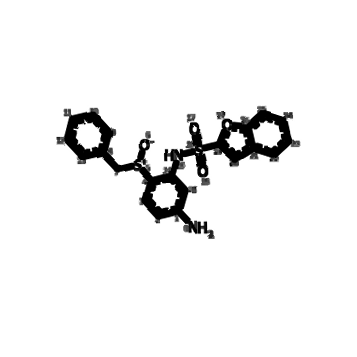 Nc1ccc([S+]([O-])Cc2ccccc2)c(NS(=O)(=O)c2cc3ccccc3o2)c1